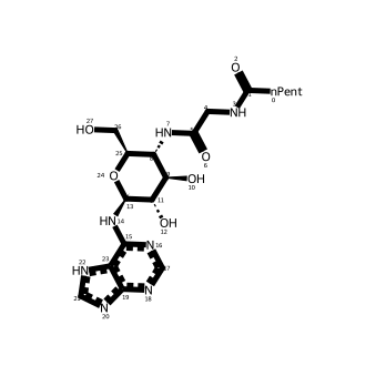 CCCCCC(=O)NCC(=O)N[C@@H]1[C@@H](O)[C@H](O)[C@@H](Nc2ncnc3nc[nH]c23)O[C@H]1CO